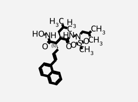 CC(C)C[C@@H](C(=O)NN(CC(C)C)S(C)(=O)=O)[C@H](CC=Cc1cccc2ccccc12)C(=O)NO